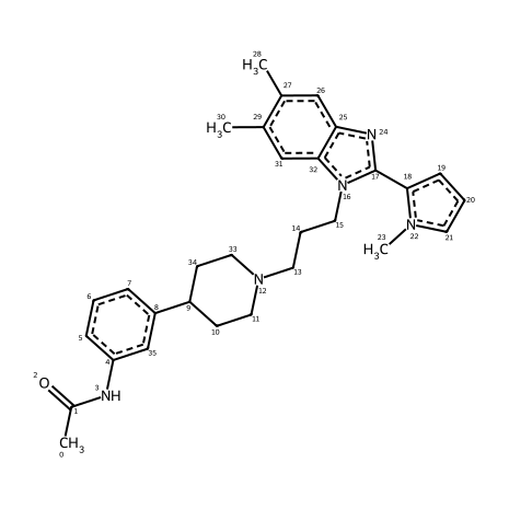 CC(=O)Nc1cccc(C2CCN(CCCn3c(-c4cccn4C)nc4cc(C)c(C)cc43)CC2)c1